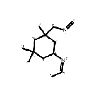 C=NCC1(C)CC(/N=C\C)CC(C)(C)C1